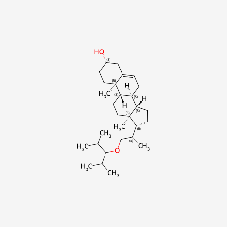 CC(C)C(OC[C@@H](C)[C@H]1CC[C@H]2[C@@H]3CC=C4C[C@@H](O)CC[C@]4(C)[C@H]3CC[C@]12C)C(C)C